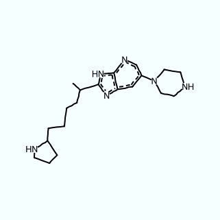 CC(CCCCC1CCCN1)c1nc2cc(N3CCNCC3)cnc2[nH]1